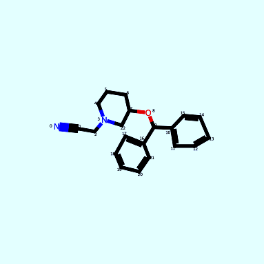 N#CCN1CCCC(OC(c2ccccc2)c2ccccc2)C1